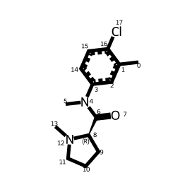 Cc1cc(N(C)C(=O)[C@H]2CCCN2C)ccc1Cl